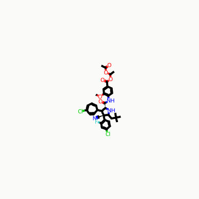 COc1cc(C(=O)OC(C)OC(C)=O)ccc1NC(=O)[C@@H]1NC(CC(C)(C)C)[C@](C#N)(c2ccc(Cl)cc2F)C1C1C#CC(Cl)=CC=C1